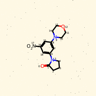 O=C1CCCN1c1cc(N2CCOCC2)cc([N+](=O)[O-])c1